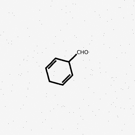 O=[C]C1C=CCC=C1